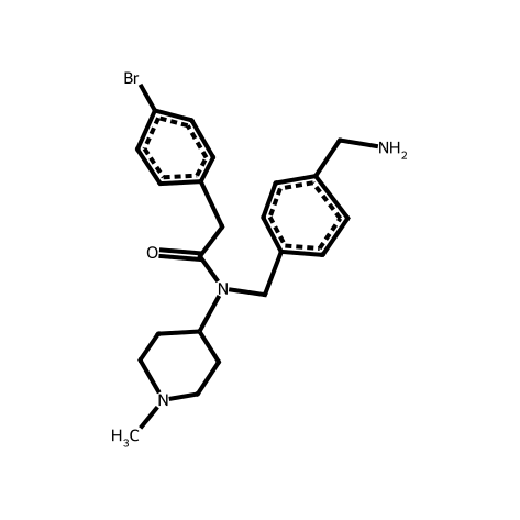 CN1CCC(N(Cc2ccc(CN)cc2)C(=O)Cc2ccc(Br)cc2)CC1